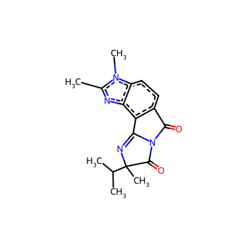 Cc1nc2c3c(ccc2n1C)C(=O)N1C(=O)C(C)(C(C)C)N=C31